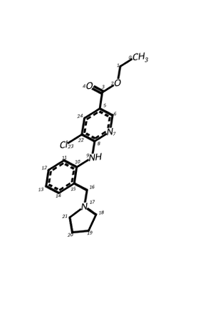 CCOC(=O)c1cnc(Nc2ccccc2CN2CCCC2)c(Cl)c1